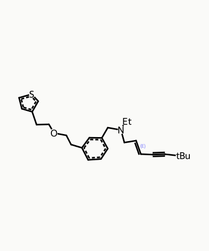 CCN(C/C=C/C#CC(C)(C)C)Cc1cccc(CCOCCc2ccsc2)c1